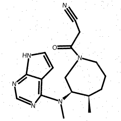 C[C@@H]1CCCN(C(=O)CC#N)C[C@@H]1N(C)c1ncnc2[nH]ccc12